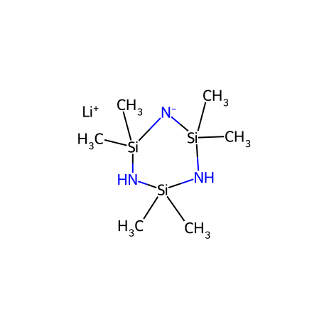 C[Si]1(C)[N-][Si](C)(C)N[Si](C)(C)N1.[Li+]